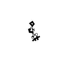 CC1(C)OB(c2ccn(C3CCC3)n2)OC1(C)C